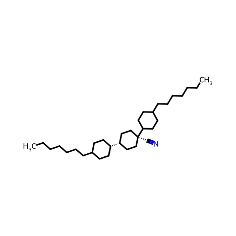 CCCCCCCC1CCC([C@H]2CC[C@](C#N)(C3CCC(CCCCCCC)CC3)CC2)CC1